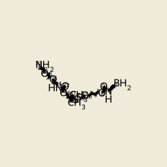 BC#CNC(=O)OCCCCOCSSC(C)(C)CCOC(=O)NCCOCCOCCN